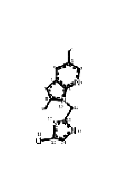 Cc1cnc2c(c1)cc(C)n2Cc1ncc(Cl)s1